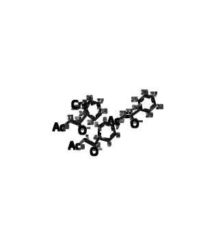 CC(=O)C=C([O-])c1ccccc1.CC(=O)C=C([O-])c1ccccc1.CC(=O)C=C([O-])c1ccccc1.[Cr+3]